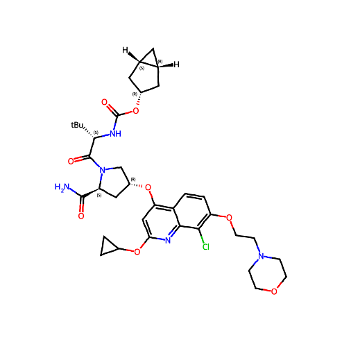 CC(C)(C)[C@H](NC(=O)O[C@@H]1C[C@@H]2C[C@@H]2C1)C(=O)N1C[C@H](Oc2cc(OC3CC3)nc3c(Cl)c(OCCN4CCOCC4)ccc23)C[C@H]1C(N)=O